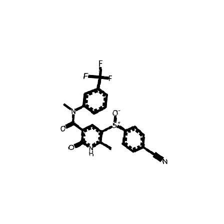 Cc1[nH]c(=O)c(C(=O)N(C)c2cccc(C(F)(F)F)c2)cc1[S+]([O-])c1ccc(C#N)cc1